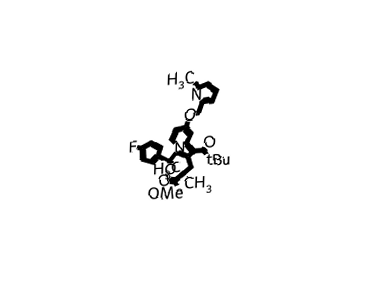 COC(=O)C(C)(C)Cc1c(C(=O)C(C)(C)C)c2cc(OCc3cccc(C)n3)ccn2c1C(=O)c1ccc(F)cc1